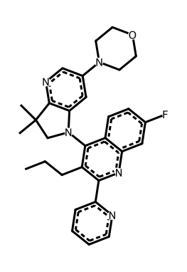 CCCc1c(-c2ccccn2)nc2cc(F)ccc2c1N1CC(C)(C)c2ncc(N3CCOCC3)cc21